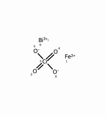 [Bi+3].[Fe+2].[O]=[Cr](=[O])([O-])[O-]